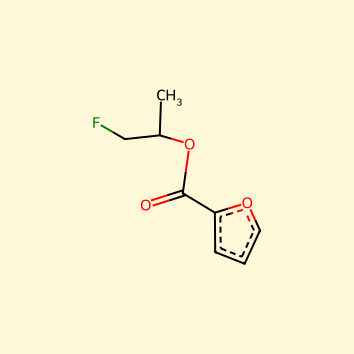 CC(CF)OC(=O)c1ccco1